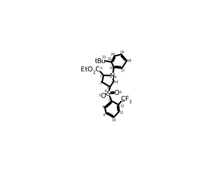 CCOC(=O)C1CC(S(=O)(=O)c2ccccc2C(F)(F)F)CN1c1ccccc1C(C)(C)C